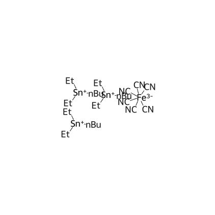 CCC[CH2][Sn+]([CH2]C)[CH2]C.CCC[CH2][Sn+]([CH2]C)[CH2]C.CCC[CH2][Sn+]([CH2]C)[CH2]C.N#[C][Fe-3]([C]#N)([C]#N)([C]#N)([C]#N)[C]#N